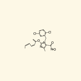 C=C(/C=C\C=C/C)Oc1nc(C)c(C(=O)N=O)n1Cc1cc(Cl)ccc1Cl